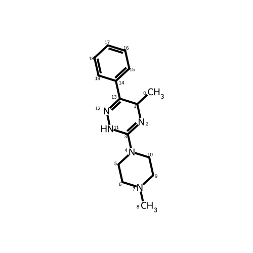 CC1N=C(N2CCN(C)CC2)NN=C1c1ccccc1